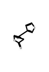 O=C1OC2=NC(c3ccsc3)C1C=C2